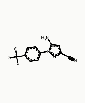 N#Cc1cc(N)n(-c2ccc(C(F)(F)F)cc2)n1